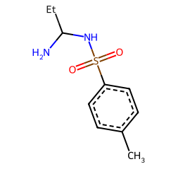 CCC(N)NS(=O)(=O)c1ccc(C)cc1